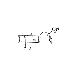 CC12C3CC1C1C(CC(=O)O)C3C12C